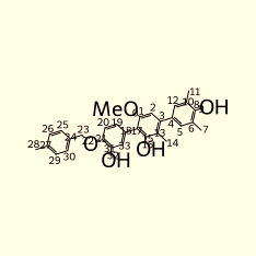 COc1cc(-c2cc(C)c(O)c(C)c2)c(C)c(O)c1-c1ccc(OCc2ccc(C)cc2)c(O)c1